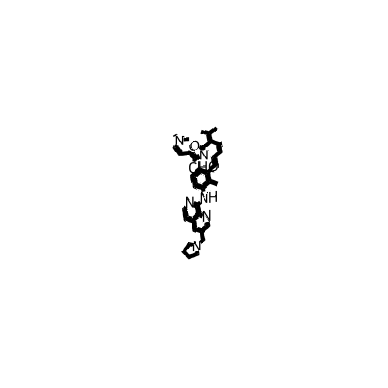 CC(C)=C(/C=C\C=C\c1cccc(Nc2nccc3cc(CN4CCCC4)cnc23)c1C)c1nc(C=O)c(/C=C\N(C)C)o1